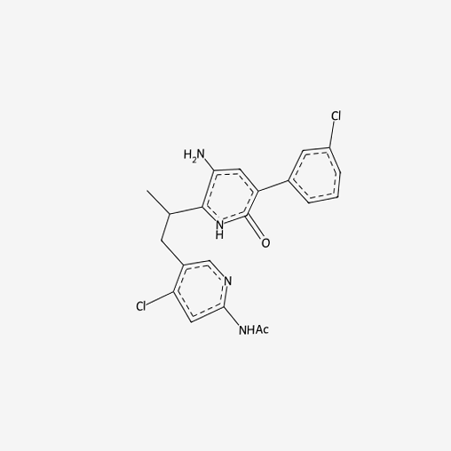 CC(=O)Nc1cc(Cl)c(CC(C)c2[nH]c(=O)c(-c3cccc(Cl)c3)cc2N)cn1